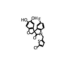 O=C1N(Cc2ccc(Cl)s2)c2ccc(F)cc2C12COc1cc(O)c(O)cc12